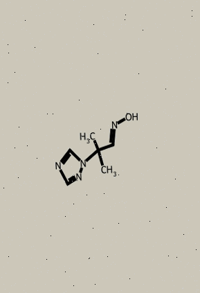 CC(C)(C=NO)n1cncn1